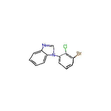 Clc1c(Br)cccc1-n1cnc2ccccc21